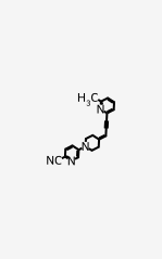 Cc1cccc(C#CC=C2CCN(c3ccc(C#N)nc3)CC2)n1